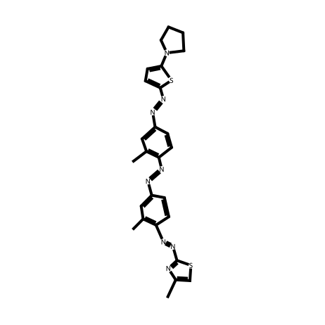 Cc1csc(/N=N/c2ccc(/N=N/c3ccc(/N=N/c4ccc(N5CCCC5)s4)cc3C)cc2C)n1